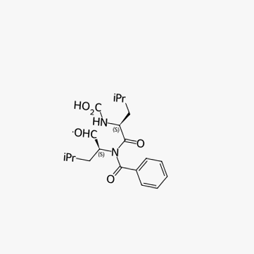 CC(C)C[C@H](NC(=O)O)C(=O)N(C(=O)c1ccccc1)[C@H]([C]=O)CC(C)C